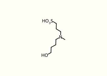 CN(CCCCO)CCCS(=O)(=O)O